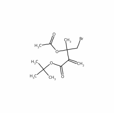 C=C(C(=O)OC(C)(C)C)C(C)(CBr)OC(C)=O